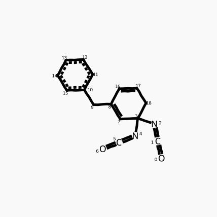 O=C=NC1(N=C=O)C=C(Cc2ccccc2)C=CC1